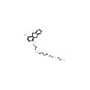 CNCCSSCCNC(=O)CCC[N+](C)(C)CCCNc1ccc(NC)c2c1C(=O)c1ccccc1C2=O